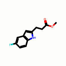 COC(=O)CCc1cc2cc(F)ccc2[nH]1